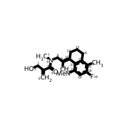 C=C(CO)C(=O)N(C)C/C(C)=C1\CCCc2c(C)c(F)cc(NC)c21